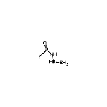 BBNC(=O)I